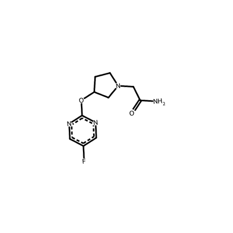 NC(=O)CN1CCC(Oc2ncc(F)cn2)C1